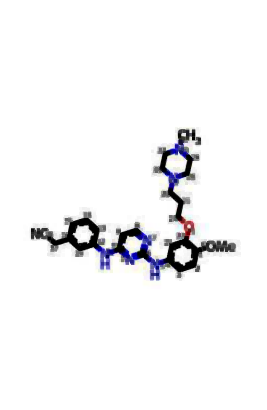 COc1ccc(Nc2nccc(Nc3cccc(CC#N)c3)n2)cc1OCCCN1CCN(C)CC1